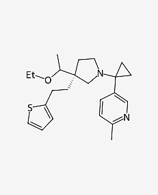 CCOC(C)[C@@]1(CCc2cccs2)CCN(C2(c3ccc(C)nc3)CC2)C1